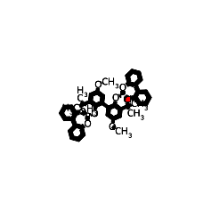 COc1cc(-c2cc(OC)cc(C(C)(C)C)c2Op2oc3ccccc3c3ccccc3o2)c(Op2oc3ccccc3c3ccccc3o2)c(C(C)(C)C)c1